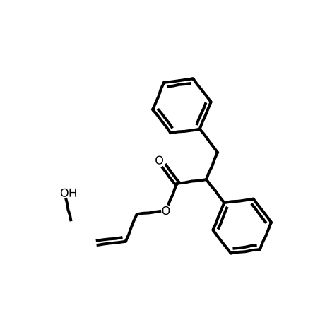 C=CCOC(=O)C(Cc1ccccc1)c1ccccc1.CO